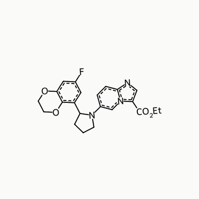 CCOC(=O)c1cnc2ccc(N3CCCC3c3cc(F)cc4c3OCCO4)cn12